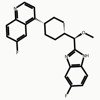 CO[C@@H](c1nc2cc(F)ccc2[nH]1)[C@H]1CC[C@@H](c2ccnc3ccc(F)cc32)CC1